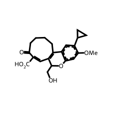 COc1cc2c(cc1C1CC1)C1=C(/C=C(/C(=O)O)C(=O)CCCC1)C(CO)O2